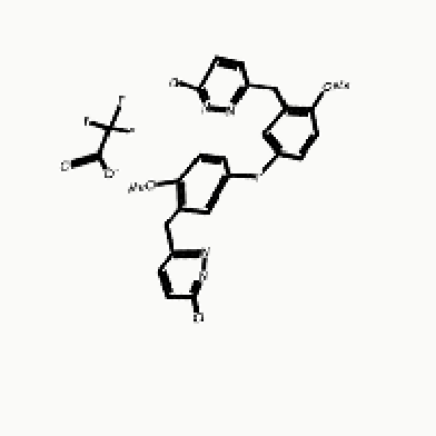 COc1ccc([I+]c2ccc(OC)c(Cc3ccc(Cl)nn3)c2)cc1Cc1ccc(Cl)nn1.O=C([O-])C(F)(F)F